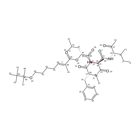 CCC(C)[C@H](NC(=O)CN(C)C(=O)[C@@H](Cc1ccccc1)N(C)C(=O)[C@H](C)NC(=O)[C@@H](CC(C)C)OC(=O)/C(C)=C/CCCCO[Si](C)(C)C(C)(C)C)C(C)=O